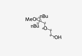 CCCCC(CCCC)(COCCO)OC